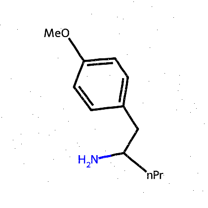 CCCC(N)Cc1ccc(OC)cc1